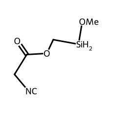 [C-]#[N+]CC(=O)OC[SiH2]OC